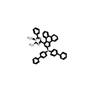 C=N/C(=N\C(=N/CC)c1cc(N(c2ccc(-c3ccccc3)cc2)c2ccc(-c3ccccc3)cc2)cc2c3c(c4ccccc4c12)CCC=C3)c1ccccc1